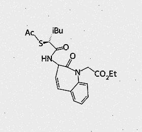 CCOC(=O)CN1C(=O)C(NC(=O)[C@@H](SC(C)=O)[C@@H](C)CC)C=Cc2ccccc21